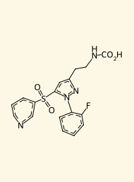 O=C(O)NCCc1cc(S(=O)(=O)c2cccnc2)n(-c2ccccc2F)n1